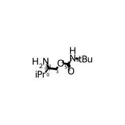 CC(C)[C@@H](N)COC(=O)NC(C)(C)C